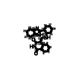 O=C1NC(=O)c2ccccc2/C1=C\Nc1ccccc1-c1nc2ccccc2[nH]1